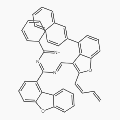 C=C/C=C\c1oc2cccc(-c3ccc4ccccc4c3)c2c1/C=N/C(=N\C(=N)C1C=CC=CC1)c1cccc2oc3ccccc3c12